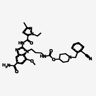 CCn1nc(C)cc1C(=O)Nc1nc2cc(C(N)=O)cc(OC)c2n1CCCNC(=O)OC1CCN(Cc2ccccc2C#N)CC1